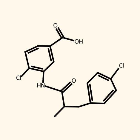 CC(Cc1ccc(Cl)cc1)C(=O)Nc1cc(C(=O)O)ccc1Cl